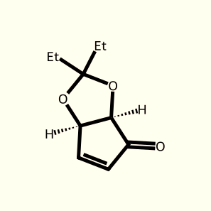 CCC1(CC)O[C@@H]2C=CC(=O)[C@@H]2O1